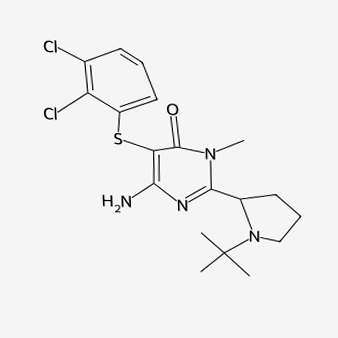 Cn1c(C2CCCN2C(C)(C)C)nc(N)c(Sc2cccc(Cl)c2Cl)c1=O